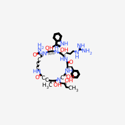 CC[C@@H](O)CN1C[C@@H](O)N[C@H](Cc2ccccc2)C(=O)N[C@@H](CCCNC(=N)N)[C@@H](O)N[C@@H](Cc2c[nH]c3ccccc23)[C@H](O)N[C@H](C(N)=O)CCCNC(=O)CC[C@H](C)[C@@H]1O